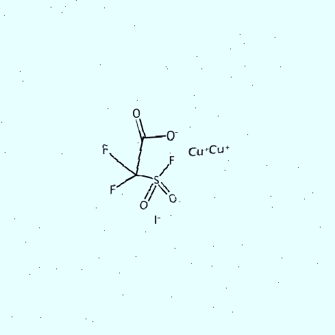 O=C([O-])C(F)(F)S(=O)(=O)F.[Cu+].[Cu+].[I-]